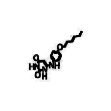 CCCCCCOc1ccc(Nc2cc(=O)[nH]c(=O)[nH]2)cc1